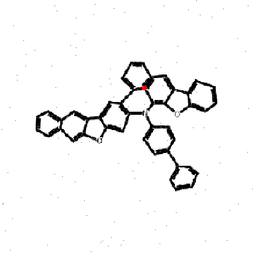 c1ccc(-c2ccc(N(c3cc4oc5cc6ccccc6cc5c4cc3-c3ccccc3)c3cccc4c3oc3ccccc34)cc2)cc1